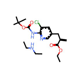 C=C(Cc1cnc(NC(=O)OC(C)(C)C)c(Cl)c1)C(=O)OCC.CCNCC